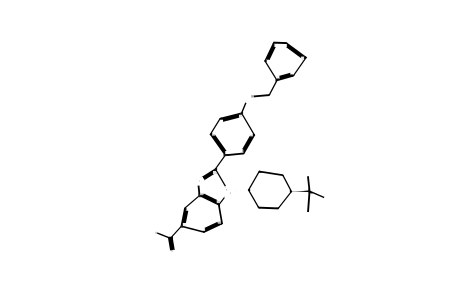 CC(C)(C)[C@H]1CC[C@H](n2c(-c3ccc(OCc4ccccc4)cc3)nc3cc(C(=O)O)ccc32)CC1